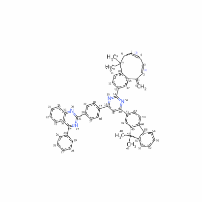 C=C1/C=C\C=C/CC(C)(C)c2ccc(-c3nc(-c4ccc(-c5nc(-c6ccccc6)c6ccccc6n5)cc4)cc(-c4ccc5c(c4)C(C)(C)c4ccccc4-5)n3)cc21